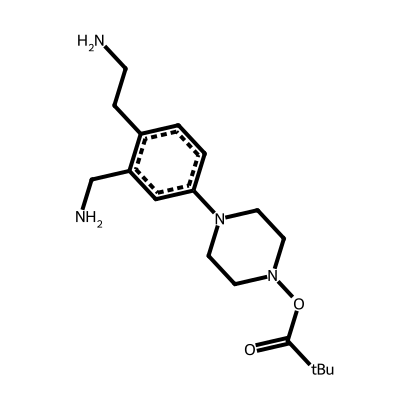 CC(C)(C)C(=O)ON1CCN(c2ccc(CCN)c(CN)c2)CC1